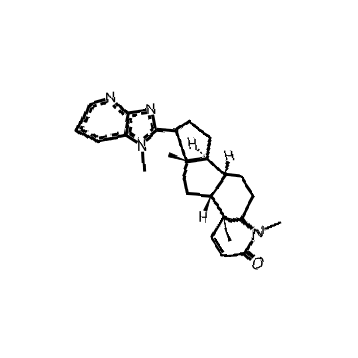 CN1C(=O)C=C[C@@]2(C)C1CC[C@@H]1[C@H]2CC[C@]2(C)C(c3nc4ncccc4n3C)CC[C@@H]12